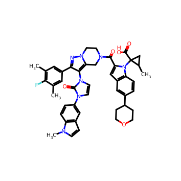 Cc1cc(-c2nn3c(c2-n2ccn(-c4ccc5c(ccn5C)c4)c2=O)CN(C(=O)c2cc4cc(C5CCOCC5)ccc4n2C2(C(=O)O)CC2C)CC3)cc(C)c1F